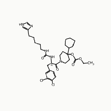 CCOC(=O)OC1(C2CCCCC2)CCN(C(=O)[C@@H](Cc2ccc(Cl)c(Cl)c2)NC(=O)NCCCCCc2c[nH]cn2)CC1